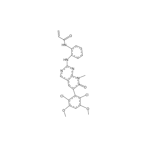 C=CC(=O)Nc1ccccc1Nc1ncc2cc(-c3c(Cl)c(OC)cc(OC)c3Cl)c(=O)n(C)c2n1